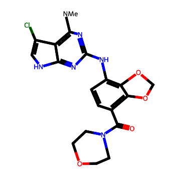 CNc1nc(Nc2ccc(C(=O)N3CCOCC3)c3c2OCO3)nc2[nH]cc(Cl)c12